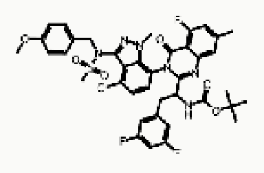 COc1ccc(CN(c2nn(C)c3c(-n4c(C(Cc5cc(F)cc(F)c5)NC(=O)OC(C)(C)C)nc5cc(C)cc(F)c5c4=O)ccc(Cl)c23)S(C)(=O)=O)cc1